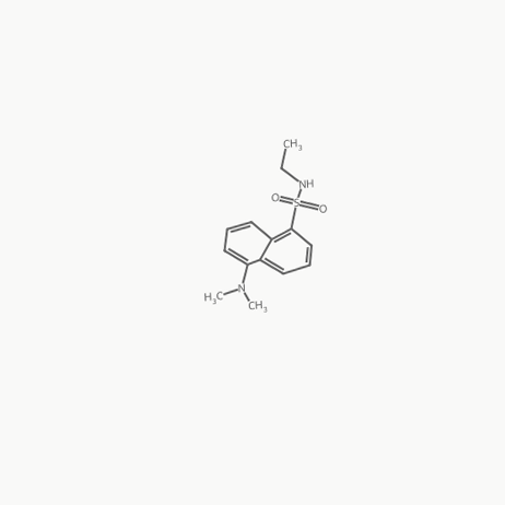 CCNS(=O)(=O)c1cccc2c(N(C)C)cccc12